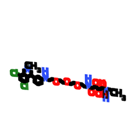 CCNC(=O)C(O)C(O)C(=O)NCCOCCOCCOCCNc1cccc(C2CN(C)Cc3c(Cl)cc(Cl)cc32)c1